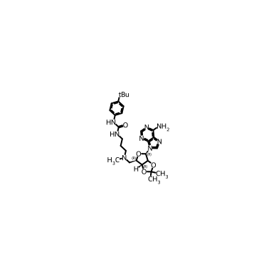 CN(CCCNC(=O)Nc1ccc(C(C)(C)C)cc1)C[C@H]1O[C@@H](n2cnc3c(N)ncnc32)C2OC(C)(C)O[C@@H]21